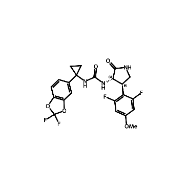 COc1cc(F)c([C@@H]2CNC(=O)[C@H]2NC(=O)NC2(c3ccc4c(c3)OC(F)(F)O4)CC2)c(F)c1